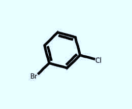 Clc1[c]c(Br)c[c]c1